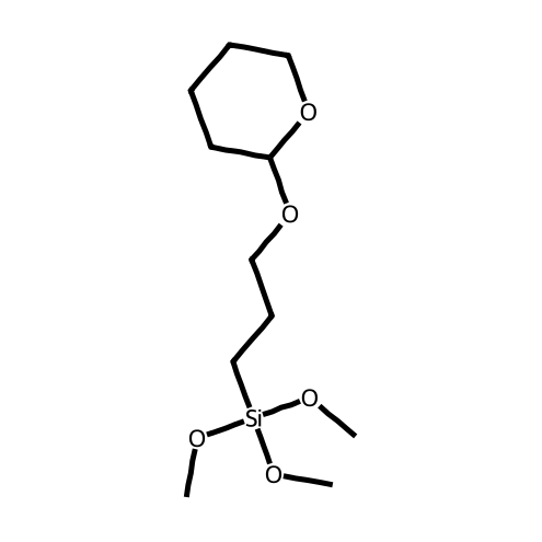 CO[Si](CCCOC1CCCCO1)(OC)OC